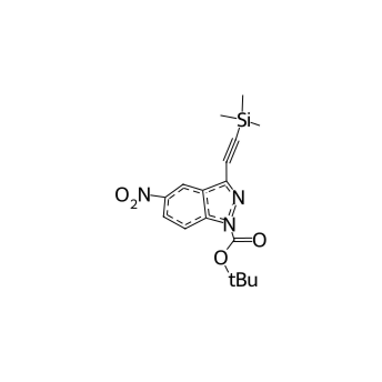 CC(C)(C)OC(=O)n1nc(C#C[Si](C)(C)C)c2cc([N+](=O)[O-])ccc21